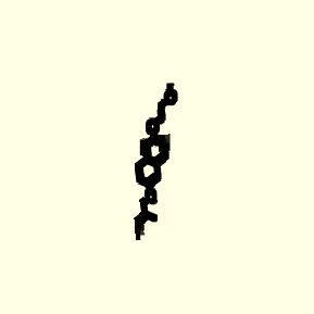 COCCOc1ncc2cc(OC/C(C)=C/F)ccc2n1